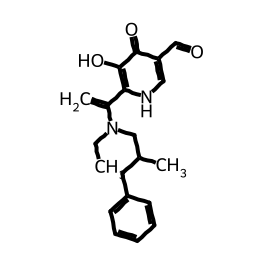 C=C(c1[nH]cc(C=O)c(=O)c1O)N(CC)CC(C)Cc1ccccc1